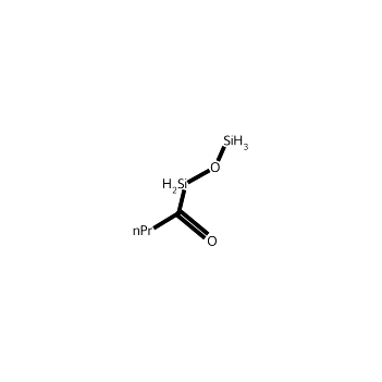 CCCC(=O)[SiH2]O[SiH3]